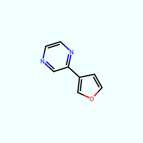 c1cnc(-c2ccoc2)cn1